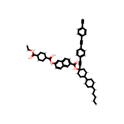 C#Cc1ccc(C#Cc2ccc(C#CC3(OC(=O)c4ccc5cc(OC(=O)C6CCC(C(=O)OCC)CC6)ccc5c4)CCC(C4CCC(CCCCC)CC4)CC3)cc2)cc1